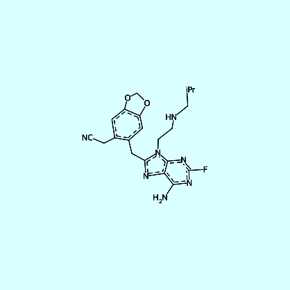 CC(C)CNCCn1c(Cc2cc3c(cc2CC#N)OCO3)nc2c(N)nc(F)nc21